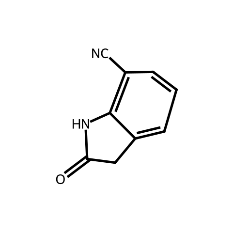 N#Cc1cccc2c1NC(=O)C2